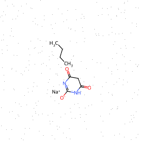 CCCC.O=C1CC(=O)NC([O-])=N1.[Na+]